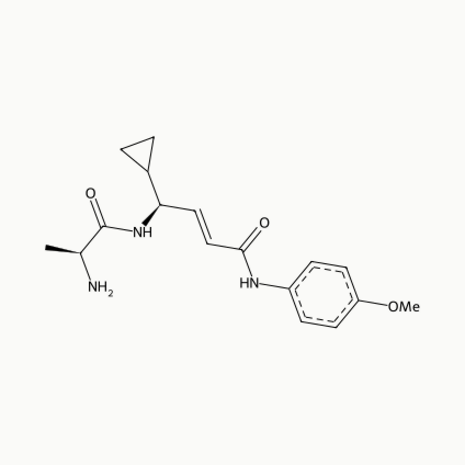 COc1ccc(NC(=O)C=C[C@@H](NC(=O)[C@H](C)N)C2CC2)cc1